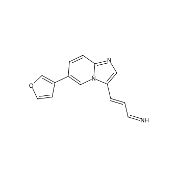 N=C/C=C/c1cnc2ccc(-c3ccoc3)cn12